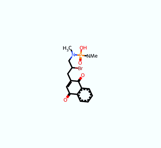 CNP(=O)(O)N(C)CC(Br)CC1=CC(=O)c2ccccc2C1=O